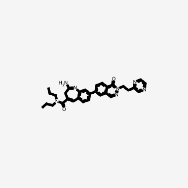 CCCN(CCC)C(=O)C1=Cc2ccc(-c3ccc4c(=O)n(CCc5cnccn5)ncc4c3)cc2N=C(N)C1